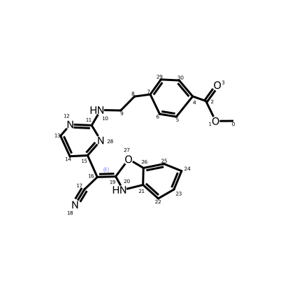 COC(=O)c1ccc(CCNc2nccc(/C(C#N)=C3/Nc4ccccc4O3)n2)cc1